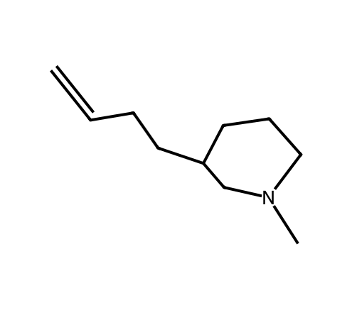 C=CCCC1CCCN(C)C1